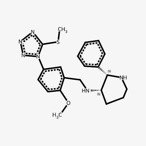 COc1ccc(-n2nnnc2SC)cc1CN[C@H]1CCCN[C@H]1c1ccccc1